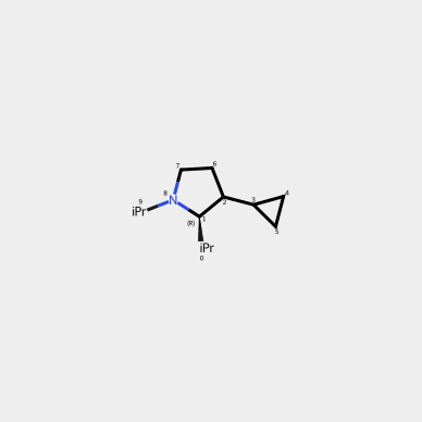 CC(C)[C@@H]1C(C2CC2)CCN1C(C)C